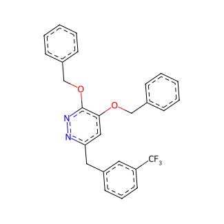 FC(F)(F)c1cccc(Cc2cc(OCc3ccccc3)c(OCc3ccccc3)nn2)c1